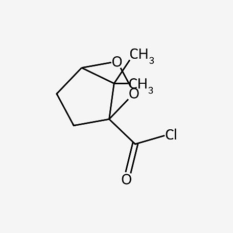 CC1(C)C2CCC1(C(=O)Cl)OO2